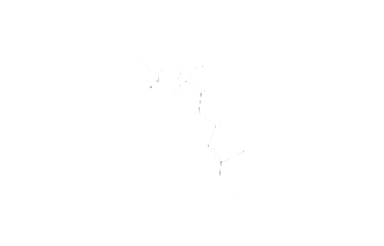 CC(=CCCC[Si](C)(C)O[SiH](C)C)C(=O)O